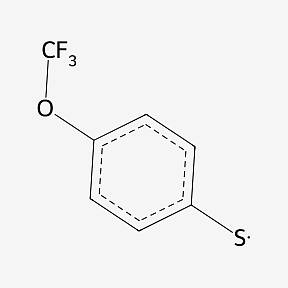 FC(F)(F)Oc1ccc([S])cc1